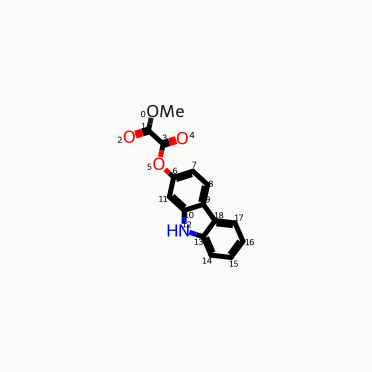 COC(=O)C(=O)Oc1ccc2c(c1)[nH]c1ccccc12